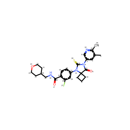 Cc1cc(N2C(=O)C3(CCC3)N(c3ccc(C(=O)NCC4CCOCC4)c(F)c3)C2=S)cnc1C#N